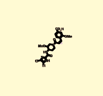 CCc1[nH]c(C(=O)NC2CCN(C(=O)/C=C\c3ccc(C(=O)O)cc3OC)CC2OC)nc1Cl